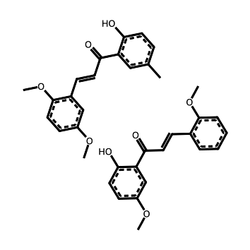 COc1ccc(O)c(C(=O)C=Cc2ccccc2OC)c1.COc1ccc(OC)c(C=CC(=O)c2cc(C)ccc2O)c1